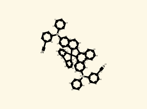 N#Cc1cccc(N(c2ccccc2)c2ccc3c4c(ccc3c2)-c2c(c3ccc(N(c5ccccc5)c5cccc(C#N)c5)cc3c3ccccc23)C42c3ccccc3-c3ccccc32)c1